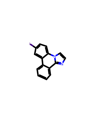 Ic1ccc2c(c1)c1ccccc1c1nccn21